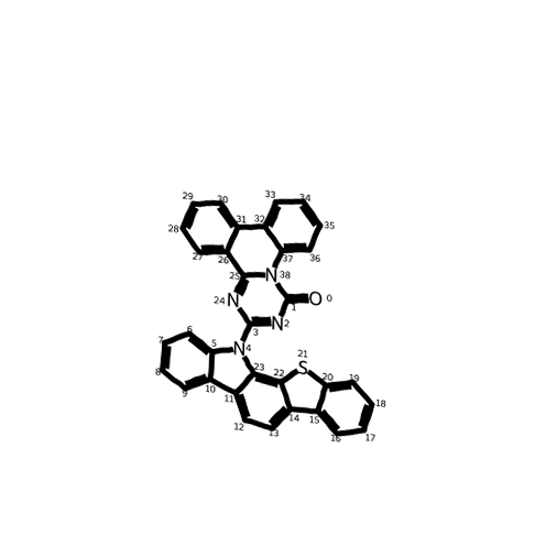 O=c1nc(-n2c3ccccc3c3ccc4c5ccccc5sc4c32)nc2c3ccccc3c3ccccc3n12